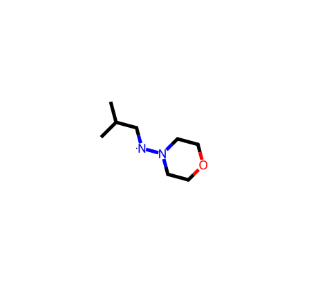 CC(C)C[N]N1CCOCC1